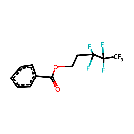 O=C(OCCC(F)(F)C(F)(F)C(F)(F)F)c1ccccc1